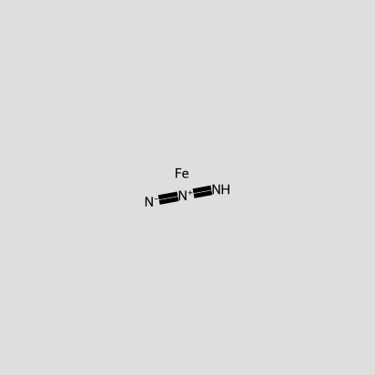 [Fe].[N-]=[N+]=N